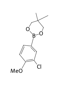 COc1ccc(B2OCC(C)(C)CO2)cc1Cl